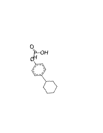 O=[PH](O)Oc1ccc(C2CCCCC2)cc1